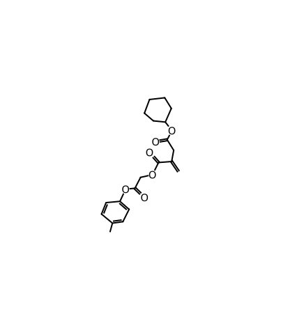 C=C(CC(=O)OC1CCCCC1)C(=O)OCC(=O)Oc1ccc(C)cc1